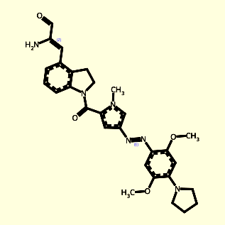 COc1cc(N2CCCC2)c(OC)cc1/N=N/c1cc(C(=O)N2CCc3c(/C=C(\N)C=O)cccc32)n(C)c1